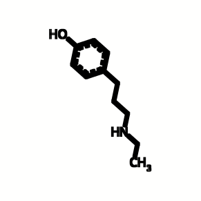 CCNCCCc1ccc(O)cc1